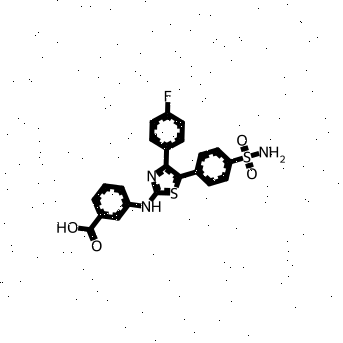 NS(=O)(=O)c1ccc(-c2sc(Nc3cccc(C(=O)O)c3)nc2-c2ccc(F)cc2)cc1